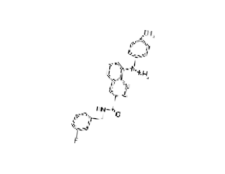 Cc1ccc(N(N)c2cccc3cc(C(=O)NCc4cccc(F)c4)cnc23)cc1